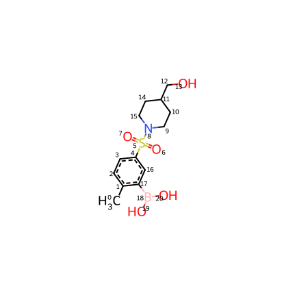 Cc1ccc(S(=O)(=O)N2CCC(CO)CC2)cc1B(O)O